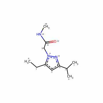 CCc1cc(C(C)C)nn1CC(=O)NC